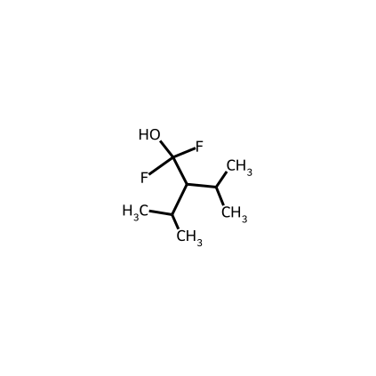 CC(C)C(C(C)C)C(O)(F)F